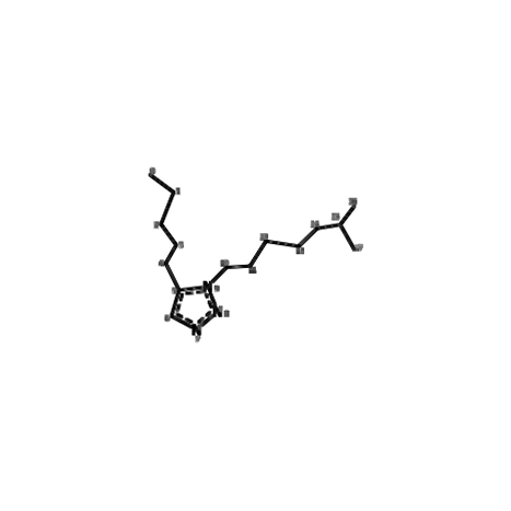 CCCCCc1cnnn1CCCCCC(C)C